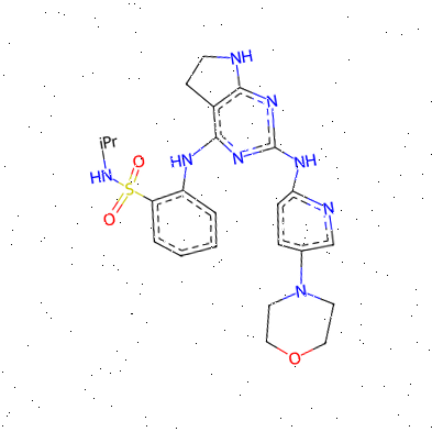 CC(C)NS(=O)(=O)c1ccccc1Nc1nc(Nc2ccc(N3CCOCC3)cn2)nc2c1CCN2